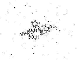 CCCC(C(CCC[n+]1ccccc1C=NN(C)c1ccc([N+](=O)[O-])cc1)S(=O)(=O)O)S(=O)(=O)O